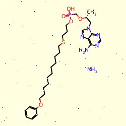 C[C@H](Cn1cnc2c(N)ncnc21)OCP(=O)(O)OCCCSCCCCCCCCCCCOc1ccccc1.N